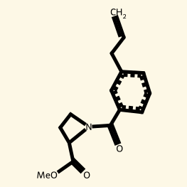 C=CCc1cccc(C(=O)N2CCC2C(=O)OC)c1